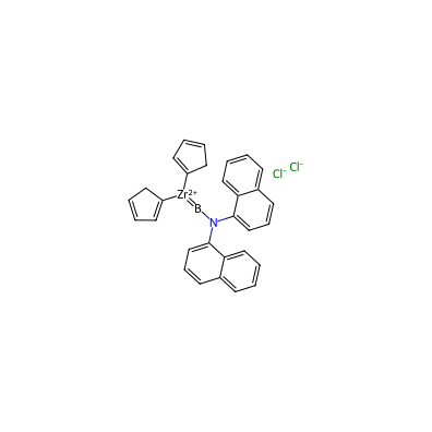 [B](N(c1cccc2ccccc12)c1cccc2ccccc12)=[Zr+2]([C]1=CC=CC1)[C]1=CC=CC1.[Cl-].[Cl-]